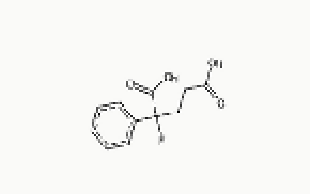 O=C(O)CCC(F)(C(=O)O)c1ccccc1